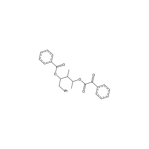 CC(C)CC(OC(=O)c1ccccc1)C(C)C(C)OC(=O)C(=O)c1ccccc1